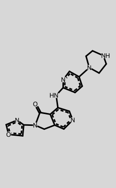 O=C1c2c(cncc2Nc2ccc(N3CCNCC3)cn2)CN1c1cocn1